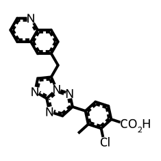 Cc1c(-c2cnc3ncc(Cc4ccc5ncccc5c4)n3n2)ccc(C(=O)O)c1Cl